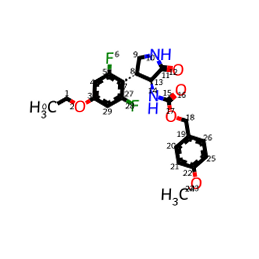 CCOc1cc(F)c([C@@H]2CNC(=O)[C@H]2NC(=O)OCc2ccc(OC)cc2)c(F)c1